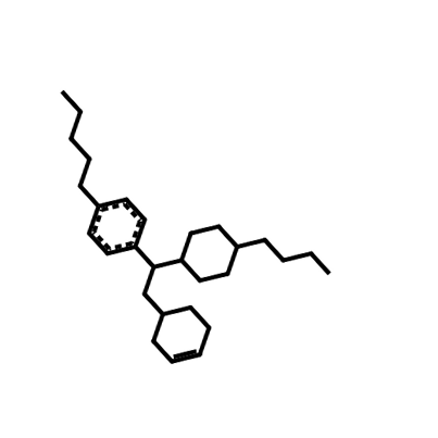 CCCCCc1ccc(C(CC2CC=CCC2)C2CCC(CCCC)CC2)cc1